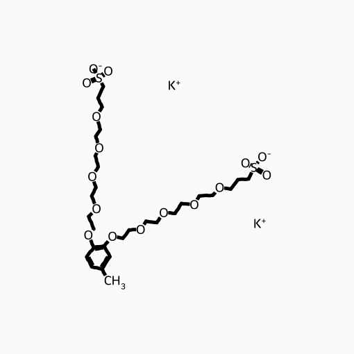 Cc1ccc(OCCOCCOCCOCCOCCCS(=O)(=O)[O-])c(OCCOCCOCCOCCOCCCS(=O)(=O)[O-])c1.[K+].[K+]